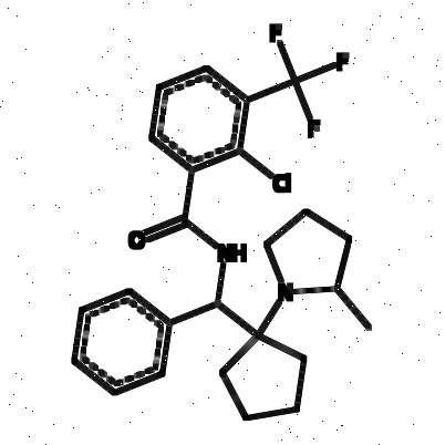 CC1CCCN1C1(C(NC(=O)c2cccc(C(F)(F)F)c2Cl)c2ccccc2)CCCC1